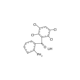 O=C(c1ccccc1P)c1c(Cl)c(Cl)cc(Cl)c1Cl.[LiH]